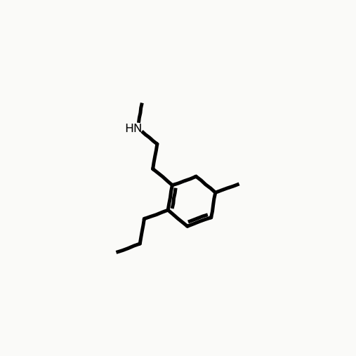 CCCC1=C(CCNC)CC(C)C=C1